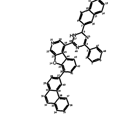 c1ccc(C2=NC(c3ccc4ccccc4c3)NC(c3cncc4oc5c(-c6ccc7ccc8ccccc8c7c6)cccc5c34)=N2)cc1